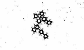 c1ccc(-c2ccc(-c3nc(-c4ccc(C5(c6ccc7c(c6)oc6ccccc67)c6ccccc6-c6ccccc65)cc4)nc4ccccc34)cc2)cc1